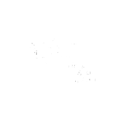 CCCN(CC#CCNC(=O)OC(C)(C)C)C(=O)C1=Cc2sccc2N=C(N)C1